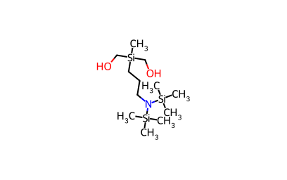 C[Si](CO)(CO)CCCN([Si](C)(C)C)[Si](C)(C)C